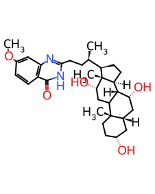 COc1ccc2c(=O)[nH]c(CC[C@@H](C)[C@H]3CC[C@H]4[C@H]5C(C[C@H](O)[C@]34C)[C@@]3(C)CC[C@@H](O)C[C@H]3C[C@H]5O)nc2c1